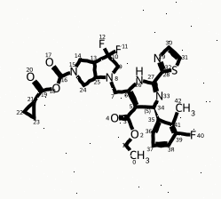 CCOC(=O)C1=C(CN2CC(F)(F)C3CN(C(=O)OC(=O)C4CC4)CC32)NC(c2nccs2)=N[C@H]1c1cccc(F)c1C